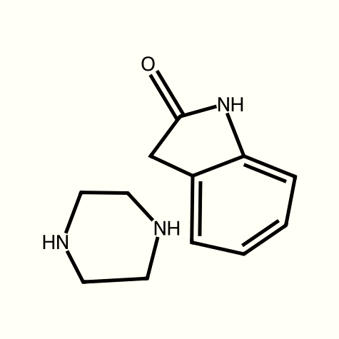 C1CNCCN1.O=C1Cc2ccccc2N1